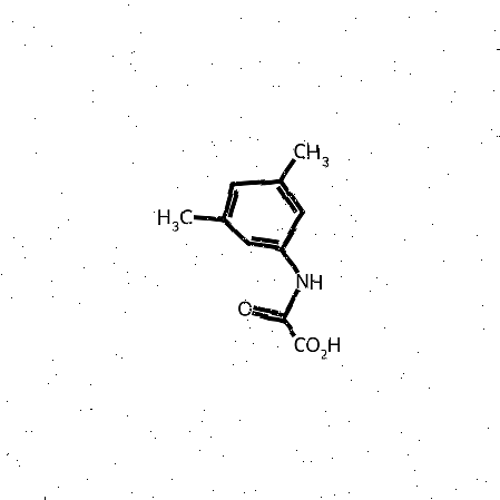 Cc1cc(C)cc(NC(=O)C(=O)O)c1